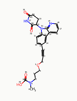 CN(CCCOCC#Cc1ccc2c(c1)c1cccnc1n2C1CCC(=O)NC1=O)C(=O)O